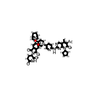 CC(=O)c1c(C)c2cnc(Nc3ccc(N4CCC(CN5C6CCC5CN(c5cc7c(cc5F)C(=O)N(C5CCC(=O)NC5=O)C7=O)C6)CC4)cn3)nc2n(C2CCCC2)c1=O